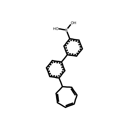 OB(O)c1cccc(-c2cccc(C3C=CC=CC=C3)c2)c1